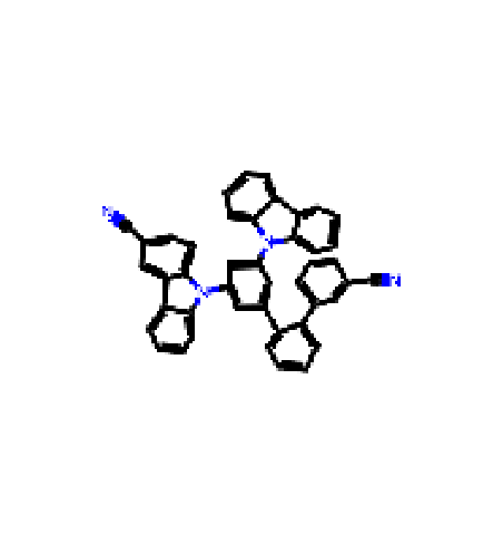 N#Cc1cccc(-c2ccccc2-c2cc(-n3c4ccccc4c4ccccc43)cc(-n3c4ccccc4c4cc(C#N)ccc43)c2)c1